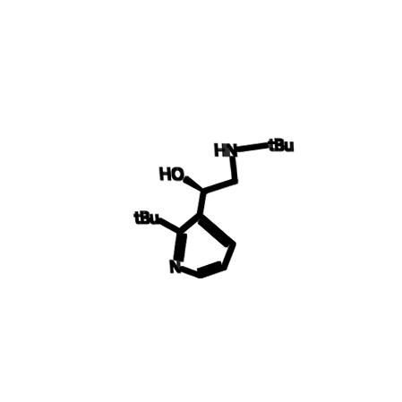 CC(C)(C)NC[C@H](O)c1cccnc1C(C)(C)C